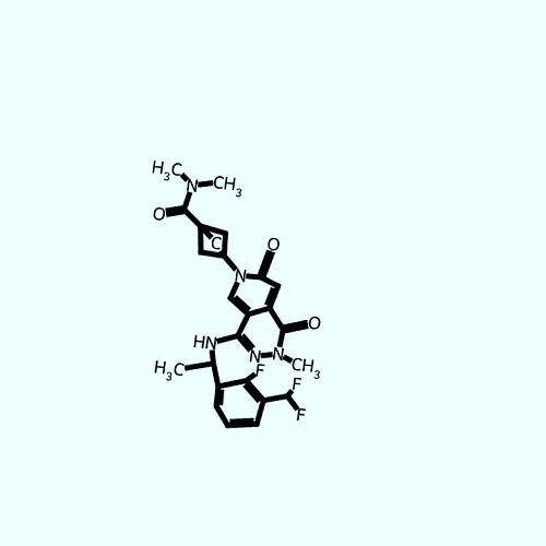 CC(Nc1nn(C)c(=O)c2cc(=O)n(C34CC(C(=O)N(C)C)(C3)C4)cc12)c1cccc(C(F)F)c1F